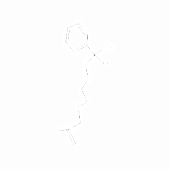 C=C(C)COCCCOC(O)(CC)c1ccccc1